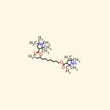 CCC(CCCCCCCOC(=O)C1CC(C)(C)NC1(C)C)OC(=O)C1CC(C)(C)N(C)C1(C)C